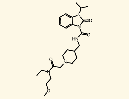 CCN(CCOC)C(=O)CN1CCC(CNC(=O)n2c(=O)n(C(C)C)c3ccccc32)CC1